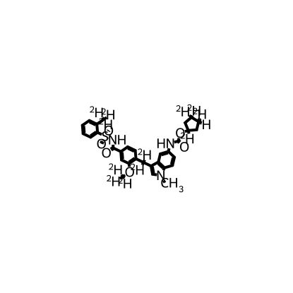 [2H]C([2H])([2H])Oc1cc(C(=O)NS(=O)(=O)c2ccccc2C([2H])([2H])[2H])ccc1C([2H])([2H])c1cn(C)c2ccc(NC(=O)OC3([2H])CC([2H])([2H])C([2H])([2H])C3)cc12